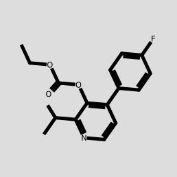 CCOC(=O)Oc1c(-c2ccc(F)cc2)ccnc1C(C)C